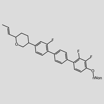 C/C=C/C1CCC(c2ccc(-c3ccc(-c4ccc(OCCCCCCCCC)c(F)c4F)cc3)c(F)c2)CO1